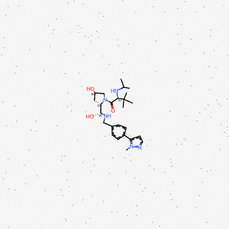 CC(C)N[C@H](C(=O)N1C[C@H](O)C[C@H]1[C@@H](O)NCc1ccc(-c2ccnn2C)cc1)C(C)(C)C